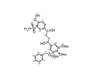 CCCOc1ccc(C(O)CCC(O)C2=CC(OC)(OCc3ccccc3)C(OC)C(OC)=C2)cc1S(C)(=O)=O